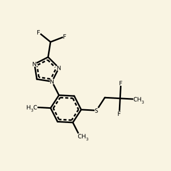 Cc1cc(C)c(-n2cnc(C(F)F)n2)cc1SCC(C)(F)F